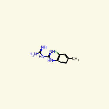 Cc1ccc(NC(=N)NC(=N)N)c(F)c1